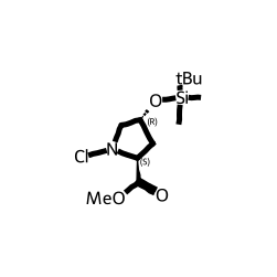 COC(=O)[C@@H]1C[C@@H](O[Si](C)(C)C(C)(C)C)CN1Cl